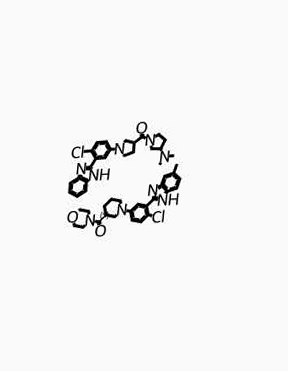 CN(C)C1CCN(C(=O)C2CCN(c3ccc(Cl)c(-c4nc5ccccc5[nH]4)c3)C2)C1.Cc1ccc2[nH]c(-c3cc(N4CCC[C@H](C(=O)N5CCOCC5)C4)ccc3Cl)nc2c1